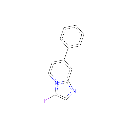 Ic1cnc2cc(-c3ccccc3)ccn12